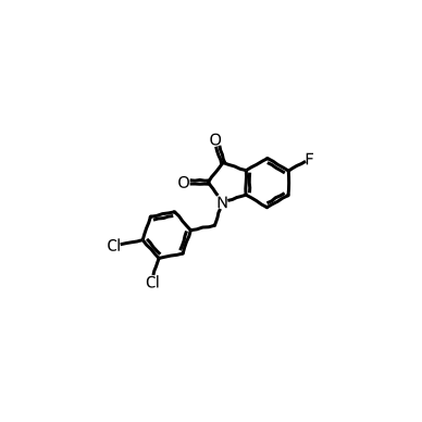 O=C1C(=O)N(Cc2ccc(Cl)c(Cl)c2)c2ccc(F)cc21